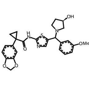 COc1cccc(C(c2cnc(NC(=O)C3(c4ccc5c(c4)OCO5)CC3)s2)N2CC[C@@H](O)C2)c1